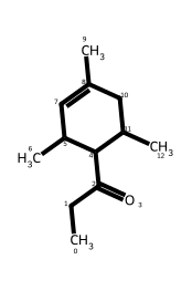 CCC(=O)C1C(C)C=C(C)CC1C